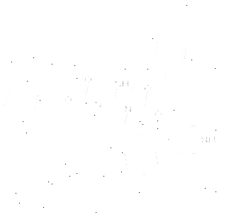 N/C(=N\C(=O)OCc1ccccc1)N(CCCC1(C2CCCCC2)CCNCC1)C(=O)OCc1ccccc1